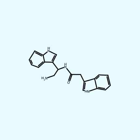 NCC(NC(=O)Cc1c[nH]c2ccccc12)c1c[nH]c2ccccc12